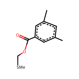 CSCOC(=O)c1cc(C)cc(C)c1